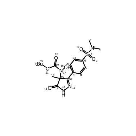 CN(C)S(=O)(=O)c1ccc(C2=NNC(=O)C2(C)N(O)C(=O)OC(C)(C)C)cc1